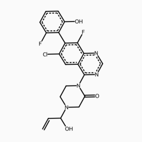 C=CC(O)N1CCN(c2ncnc3c(F)c(-c4c(O)cccc4F)c(Cl)cc23)C(=O)C1